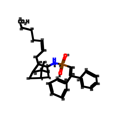 CC1(C)C2CC(NS(=O)(=O)C=C(c3ccccc3)c3ccccc3)C(C/C=C\CCCC(=O)O)C1C2